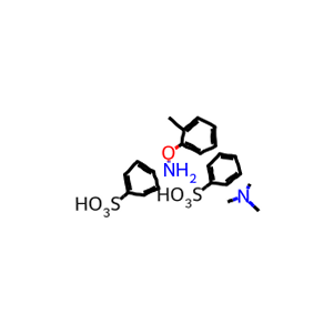 CN(C)C.Cc1ccccc1ON.O=S(=O)(O)c1ccccc1.O=S(=O)(O)c1ccccc1